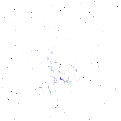 COCCOCCNc1nc2nc(C(Cc3cc(F)cc(F)c3)NC=O)c(-c3ccc(F)c(C(N)=O)c3)cc2s1